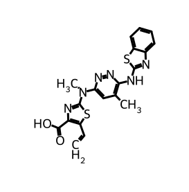 C=Cc1sc(N(C)c2cc(C)c(Nc3nc4ccccc4s3)nn2)nc1C(=O)O